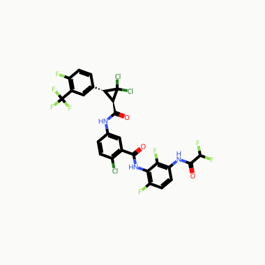 O=C(Nc1c(F)ccc(NC(=O)C(F)F)c1F)c1cc(NC(=O)[C@H]2[C@H](c3ccc(F)c(C(F)(F)F)c3)C2(Cl)Cl)ccc1Cl